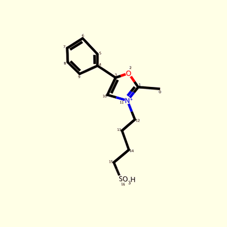 Cc1oc(-c2ccccc2)c[n+]1CCCCS(=O)(=O)O